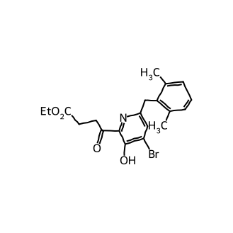 CCOC(=O)CCC(=O)c1nc(Cc2c(C)cccc2C)cc(Br)c1O